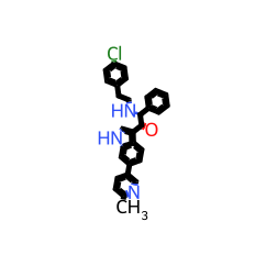 Cc1ccc(-c2ccc3c(C(=O)[C@@H](NCCc4ccc(Cl)cc4)c4ccccc4)c[nH]c3c2)cn1